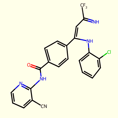 N#Cc1cccnc1NC(=O)c1ccc(/C(=C/C(=N)C(F)(F)F)Nc2ccccc2Cl)cc1